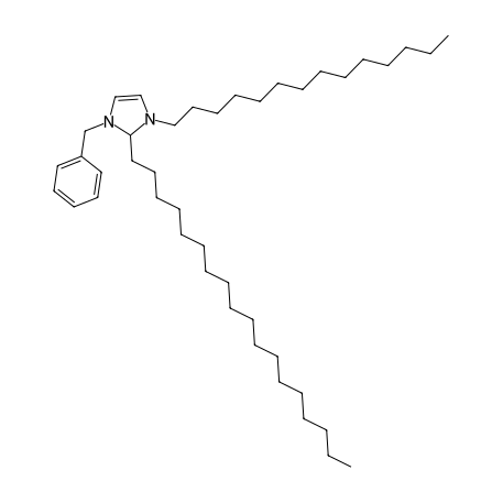 CCCCCCCCCCCCCCCCCCC1N(CCCCCCCCCCCCCC)C=CN1Cc1ccccc1